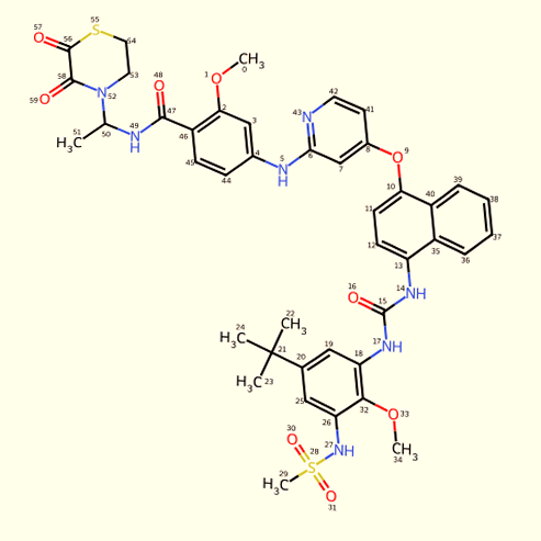 COc1cc(Nc2cc(Oc3ccc(NC(=O)Nc4cc(C(C)(C)C)cc(NS(C)(=O)=O)c4OC)c4ccccc34)ccn2)ccc1C(=O)NC(C)N1CCSC(=O)C1=O